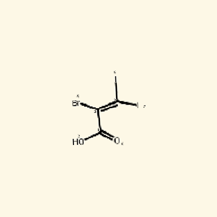 O=C(O)C(Br)=C(I)I